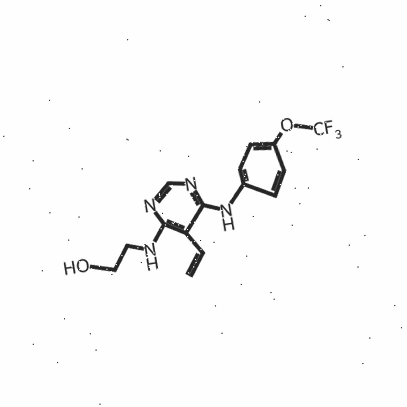 C=Cc1c(NCCO)ncnc1Nc1ccc(OC(F)(F)F)cc1